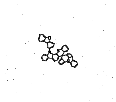 c1ccc2c(c1)Sc1c(ccc3c4ccccc4n(-c4ccc5oc6ccccc6c5c4)c13)C21c2ccccc2-n2c3ccccc3c3cccc1c32